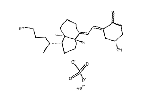 C=C1CC[C@H](O)C/C1=C\C=C1/CCC[C@]2(C)[C@@H](C(C)CCCC(C)C)CC[C@@H]12.O=S(=O)([O-])[O-].[Mg+2]